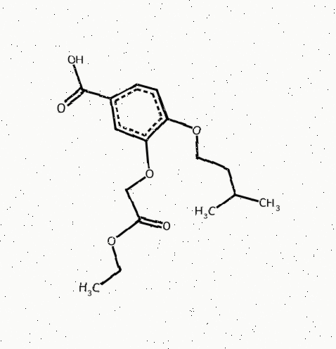 CCOC(=O)COc1cc(C(=O)O)ccc1OCCC(C)C